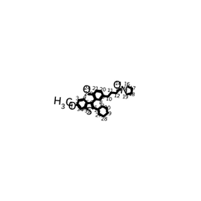 COc1ccc2c(-c3cc(CCCC(=O)N4CCCC4)ccc3C=O)c(C3CCCCC3)sc2c1